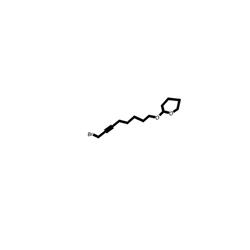 BrCC#CCCCCCOC1CCCCO1